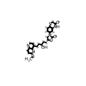 COc1ccc2nccc(CC[C@@H](O)CC[C@@H]3CN(c4ccc5c(c4)NC(=O)CS5)C(=O)O3)c2n1